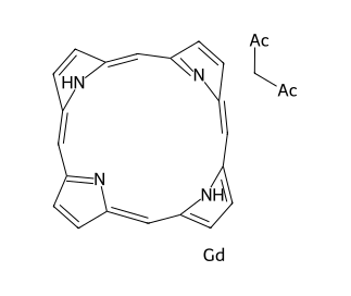 C1=Cc2cc3ccc(cc4nc(cc5ccc(cc1n2)[nH]5)C=C4)[nH]3.CC(=O)CC(C)=O.[Gd]